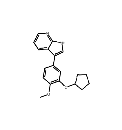 COc1ccc(-c2c[nH]c3ncccc23)cc1OC1CCCC1